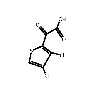 O=C(O)C(=O)c1scc(Cl)c1Cl